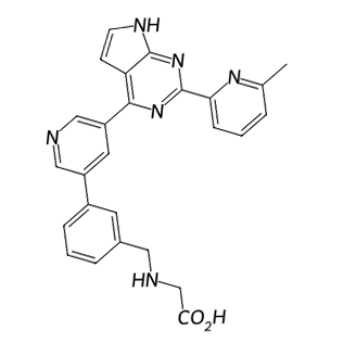 Cc1cccc(-c2nc(-c3cncc(-c4cccc(CNCC(=O)O)c4)c3)c3cc[nH]c3n2)n1